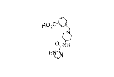 O=C(O)c1cccc(CN2CCC(NC(=O)c3ncc[nH]3)CC2)c1